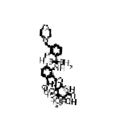 BC(B)(Nc1cccc2c1CN(C1(O)C(=O)NC(=O)C(B)(O)C1(O)O)C2=O)c1cccc(CN2CCOCC2)c1F